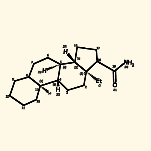 CC[C@]12CC[C@H]3[C@@H](CCC4CCCC[C@@]43C)[C@@H]1CCC2C(N)=O